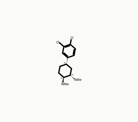 CN[C@H]1CC[C@H](c2ccc(Cl)c(Cl)c2)C[C@@H]1NC